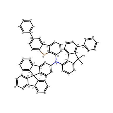 CC1(C)c2cccc(N(c3ccc4c(c3)-c3ccccc3C43c4ccccc4-c4ccccc43)c3cccc4c3sc3ccc(-c5ccccc5)cc34)c2-c2cccc(-c3ccccc3)c21